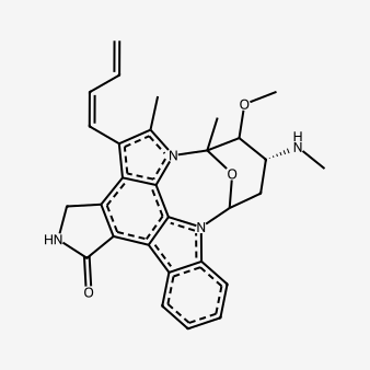 C=C/C=C\c1c(C)n2c3c1c1c(c4c5ccccc5n(c43)C3C[C@@H](NC)C(OC)C2(C)O3)C(=O)NC1